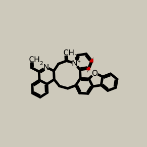 C=CC1=NC2CC(=C)[n+]3ccc4c(c3-c3c(ccc5c3oc3ccccc35)CCC2c2ccccc21)CCCC4